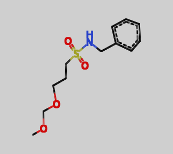 COCOCCCS(=O)(=O)NCc1ccccc1